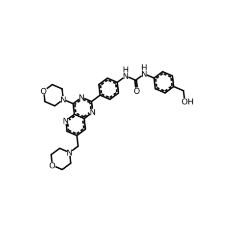 O=C(Nc1ccc(CO)cc1)Nc1ccc(-c2nc(N3CCOCC3)c3ncc(CN4CCOCC4)cc3n2)cc1